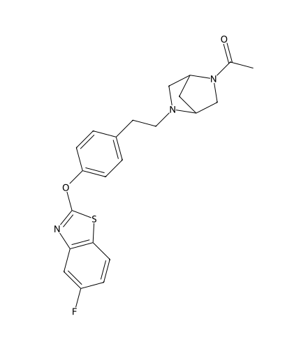 CC(=O)N1CC2CC1CN2CCc1ccc(Oc2nc3cc(F)ccc3s2)cc1